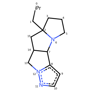 CC(C)CC12CCCN1C1c3ccnn3CC1C2